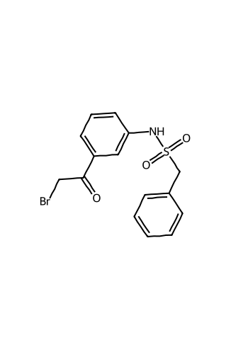 O=C(CBr)c1cccc(NS(=O)(=O)Cc2ccccc2)c1